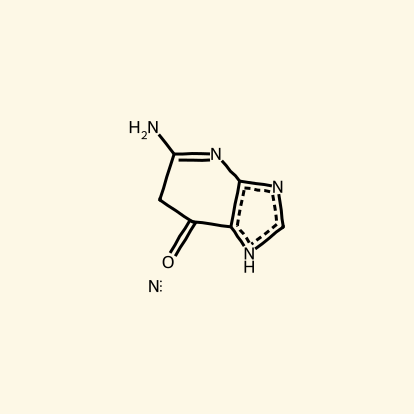 NC1=Nc2nc[nH]c2C(=O)C1.[N]